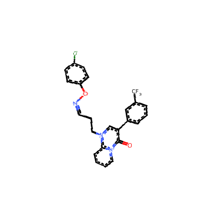 O=c1c(-c2cccc(C(F)(F)F)c2)cn(CC/C=N\Oc2ccc(Cl)cc2)c2cccc[n+]12